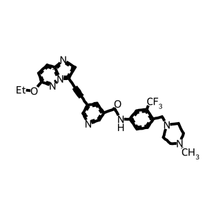 CCOc1ccc2ncc(C#Cc3cncc(C(=O)Nc4ccc(CN5CCN(C)CC5)c(C(F)(F)F)c4)c3)n2n1